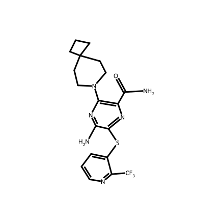 NC(=O)c1nc(Sc2cccnc2C(F)(F)F)c(N)nc1N1CCC2(CCC2)CC1